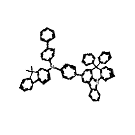 CC1(C)c2ccccc2-c2ccc(N(c3ccc(-c4ccccc4)cc3)c3ccc(-c4cc5c6c(c4)c4ccccc4n6-c4ccccc4C5(c4ccccc4)c4ccccc4)cc3)cc21